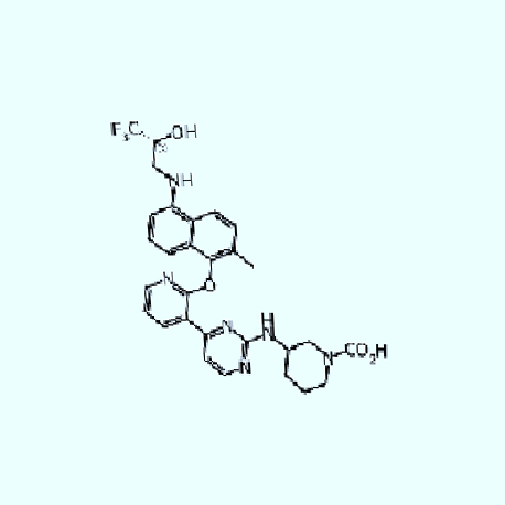 Cc1ccc2c(NC[C@@H](O)C(F)(F)F)cccc2c1Oc1ncccc1-c1ccnc(NC2CCCN(C(=O)O)C2)n1